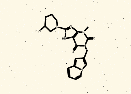 Cn1c(=O)n(Cc2cc3ccccn3c2)c(=O)c2[nH]c(N3CCCC(N)C3)nc21